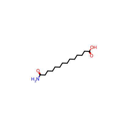 NC(=O)CCCCCCCCCCCCC(=O)O